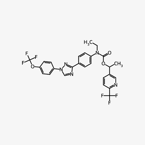 CCN(C(=O)OC(C)c1ccc(C(F)(F)F)nc1)c1ccc(-c2ncn(-c3ccc(OC(F)(F)F)cc3)n2)cc1